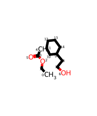 CCOC(C)=O.OCCC1CCCCC1